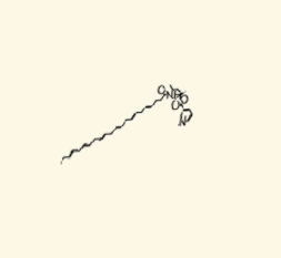 CCC=CCC=CCC=CCC=CCC=CCC=CCCC(=O)NC(C)CC(C)(C)OC(=O)c1cccnc1